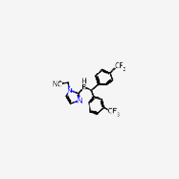 N#CCn1ccnc1BC(c1ccc(C(F)(F)F)cc1)c1cccc(C(F)(F)F)c1